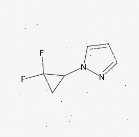 FC1(F)CC1n1cccn1